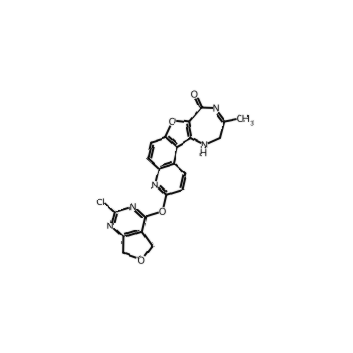 CC1=NC(=O)c2oc3ccc4nc(Oc5nc(Cl)nc6c5COC6)ccc4c3c2NC1